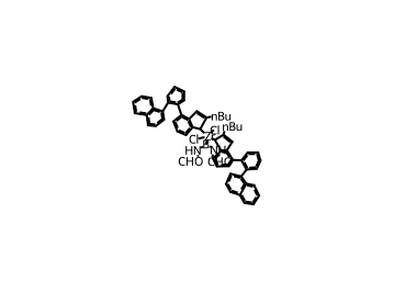 CCCCC1=Cc2c(-c3ccccc3-c3cccc4ccccc34)cccc2[CH]1[Zr]([Cl])([Cl])([B](NC=O)NC=O)[CH]1C(CCCC)=Cc2c(-c3ccccc3-c3cccc4ccccc34)cccc21